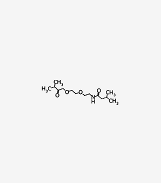 CC(C)CC(=O)NCCOCCOCC(=O)C(C)C